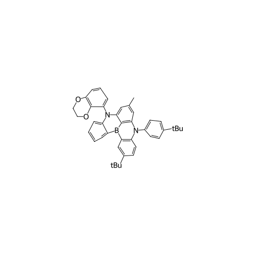 Cc1cc2c3c(c1)N(c1cccc4c1OCCO4)c1ccccc1B3c1cc(C(C)(C)C)ccc1N2c1ccc(C(C)(C)C)cc1